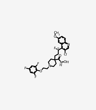 COc1ccc2ncc(Cl)c([C@H](F)CCC3(C(=O)NO)CCN(CCOc4c(F)cc(F)cc4F)CC3)c2c1